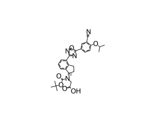 CC(C)Oc1ccc(-c2nc(-c3cccc4c3CC[C@@H]4N(CC(=O)O)C(=O)OC(C)(C)C)no2)cc1C#N